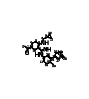 CC(=O)N1CCC(NCC2CC2)=C(C(=N)NC2=CCC(C)C(c3cnn(C)c3)=C2)C1